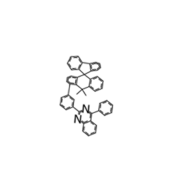 CC1(C)c2ccccc2C2(c3ccccc3-c3ccccc32)c2cccc(-c3cccc(-c4nc(-c5ccccc5)c5ccccc5n4)c3)c21